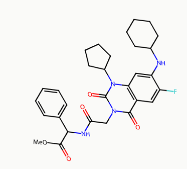 COC(=O)C(NC(=O)Cn1c(=O)c2cc(F)c(NC3CCCCC3)cc2n(C2CCCC2)c1=O)c1ccccc1